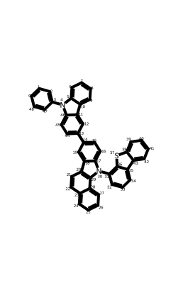 c1ccc(-n2c3ccccc3c3cc(-c4ccc5c(c4)c4ccc6ccccc6c4n5-c4cccc5c4sc4ccccc45)ccc32)cc1